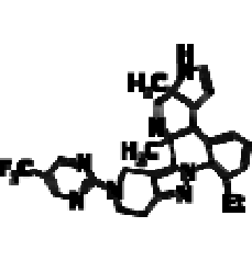 CCc1cccc2c1-n1nc3c(c1C1(C)N=CC4(C)NC=CC4=C21)CN(c1ncc(C(F)(F)F)cn1)CC3